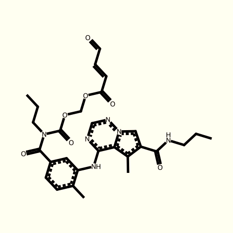 CCCNC(=O)c1cn2ncnc(Nc3cc(C(=O)N(CCC)C(=O)OCOC(=O)/C=C/C=O)ccc3C)c2c1C